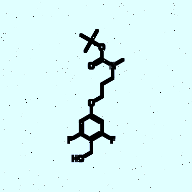 CN(CCCOc1cc(F)c(CO)c(F)c1)C(=O)OC(C)(C)C